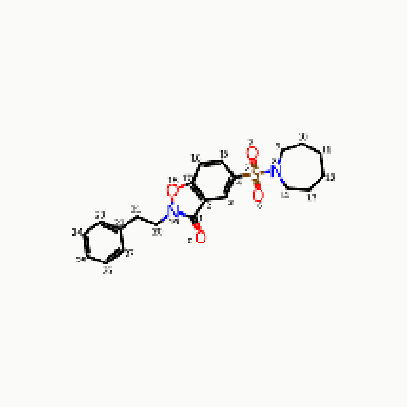 O=c1c2cc(S(=O)(=O)N3CCCCCC3)ccc2on1CCc1ccccc1